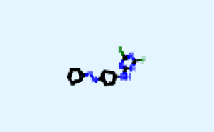 Fc1nc(F)nc(Nc2ccc(N=Nc3ccccc3)cc2)n1